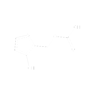 CC(=O)OCc1sccc1C